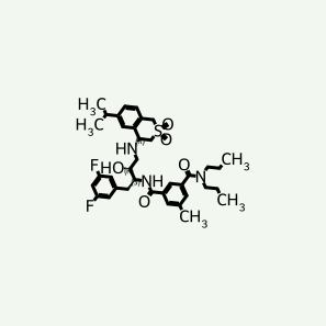 CCCN(CCC)C(=O)c1cc(C)cc(C(=O)N[C@@H](Cc2cc(F)cc(F)c2)[C@H](O)CN[C@H]2CS(=O)(=O)Cc3ccc(C(C)C)cc32)c1